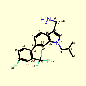 CC(C)Cn1cc([C@@H](C)N)c2ccc(-c3ccc(F)cc3C(F)(F)F)cc21